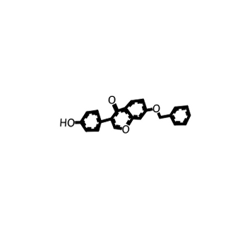 O=c1c(-c2ccc(O)cc2)coc2cc(OCc3ccccc3)ccc12